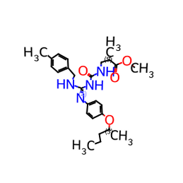 CCC[C@H](C)Oc1ccc(/N=C(/NCc2ccc(C)cc2)NC(=O)NC[C@H](C)C(=O)OC)cc1